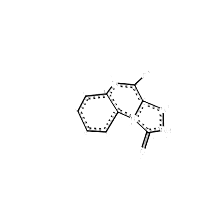 O=c1[nH]nc2c(F)nc3ccccc3n12